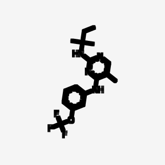 CCC(C)(C)Nc1ncc(C)c(Nc2cccc(OC(F)(F)F)c2)n1